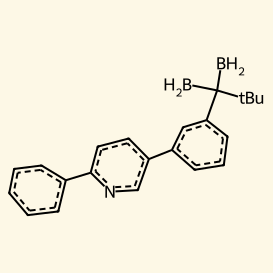 BC(B)(c1cccc(-c2ccc(-c3ccccc3)nc2)c1)C(C)(C)C